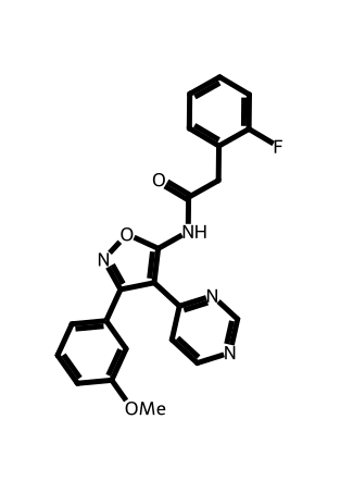 COc1cccc(-c2noc(NC(=O)Cc3ccccc3F)c2-c2ccncn2)c1